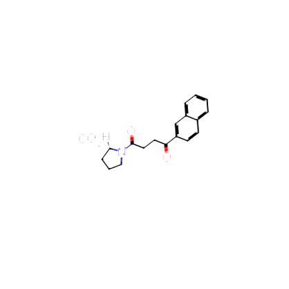 O=C(CCC(=O)N1CCC[C@H]1C(=O)O)c1ccc2ccccc2c1